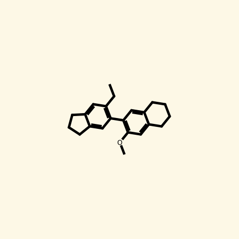 CCc1cc2c(cc1-c1cc3c(cc1OC)CCCC3)CCC2